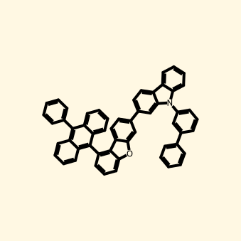 c1ccc(-c2cccc(-n3c4ccccc4c4ccc(-c5ccc6c(c5)oc5cccc(-c7c8ccccc8c(-c8ccccc8)c8ccccc78)c56)cc43)c2)cc1